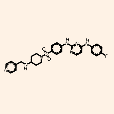 O=S(=O)(c1ccc(Nc2nccc(Nc3ccc(F)cc3)n2)cc1)N1CCC(NCc2ccncc2)CC1